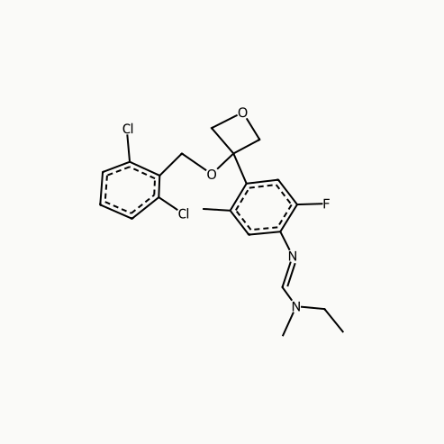 CCN(C)C=Nc1cc(C)c(C2(OCc3c(Cl)cccc3Cl)COC2)cc1F